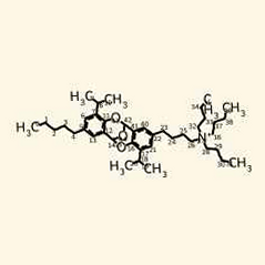 CCCCCc1cc(C(C)C)c2c(c1)C1Oc3c(C(C)C)cc(CCCC[N+](CCCC)(CCCC)CCCC)cc3C(O2)O1